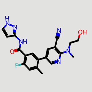 Cc1cc(F)c(C(=O)Nc2cc[nH]n2)cc1-c1cnc(N(C)CCO)c(C#N)c1